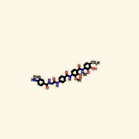 CCOc1c(NC(=O)c2ccc(NC(=O)c3ccc(NC(=O)CNC(=O)c4ccc(NC=O)cc4)cc3)c(OCC)c2O)ccc(C(=O)O)c1O